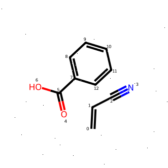 C=CC#N.O=C(O)c1ccccc1